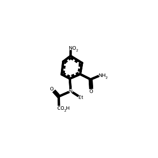 CCN(C(=O)C(=O)O)c1ccc([N+](=O)[O-])cc1C(N)=O